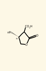 CCC[C@H]1COC(=O)C1C(=O)O